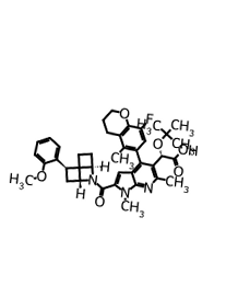 COc1ccccc1[C@@H]1C[C@H]2N(C(=O)c3cc4c(-c5cc(F)c6c(c5C)CCCO6)c([C@H](OC(C)(C)C)C(=O)O)c(C)nc4n3C)[C@@H]3CCC132